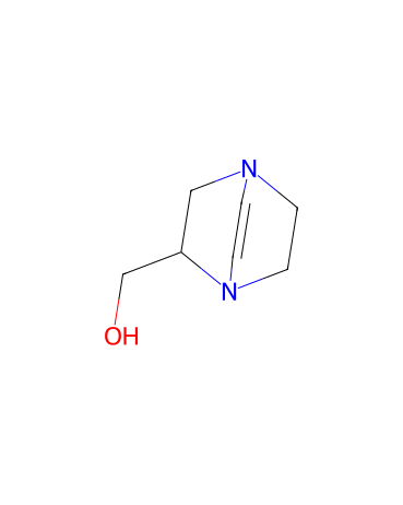 OCC1CN2C=CN1CC2